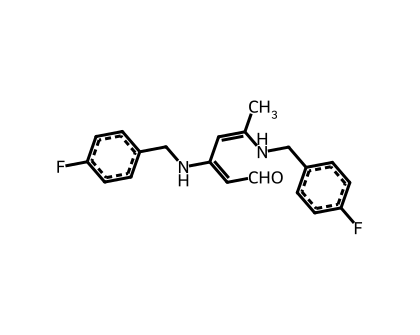 C/C(=C/C(=C\C=O)NCc1ccc(F)cc1)NCc1ccc(F)cc1